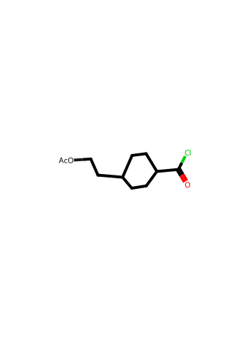 CC(=O)OCCC1CCC(C(=O)Cl)CC1